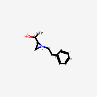 CC(C)C(O)C1CN1CCc1ccccc1